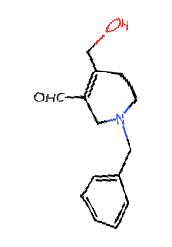 O=CC1=C(CO)CCN(Cc2ccccc2)C1